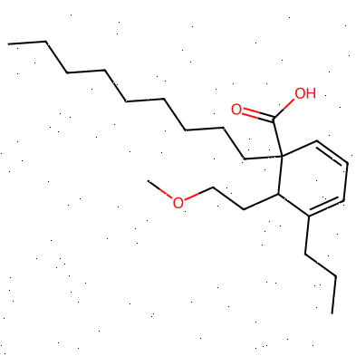 CCCCCCCCCC1(C(=O)O)C=CC=C(CCC)C1CCOC